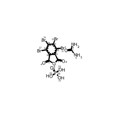 NC(N)=O.O=C1OC(=O)c2c(Br)c(Br)c(Br)c(Br)c21.O=P(O)(O)O